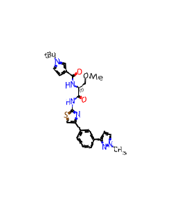 COC[C@H](NC(=O)c1ccn(C(C)(C)C)c1)C(=O)Nc1nc(-c2cccc(-c3ccn(C)n3)c2)cs1